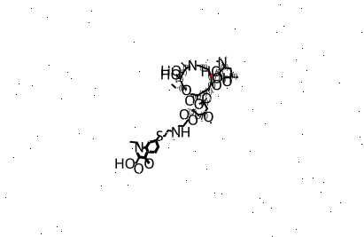 CC[C@H]1OC(=O)[C@H](C)[C@@H](O[C@H]2C[C@@](C)(OC)[C@@H](OC(=O)CCNCCSc3ccc4c(=O)c(C(=O)O)cn(CC)c4c3)[C@H](C)O2)[C@@H](C)[C@@H](O[C@@H]2O[C@H](C)C[C@H](N(C)C)[C@H]2O)[C@](C)(O)C[C@@H](C)CN(C)[C@H](C)[C@@H](O)[C@]1(C)O